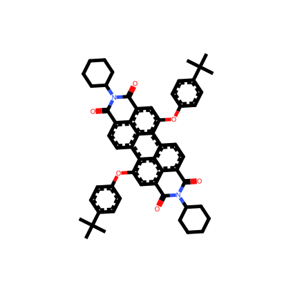 CC(C)(C)c1ccc(Oc2cc3c4c(ccc5c6c(Oc7ccc(C(C)(C)C)cc7)cc7c8c(ccc(c2c45)c86)C(=O)N(C2CCCCC2)C7=O)C(=O)N(C2CCCCC2)C3=O)cc1